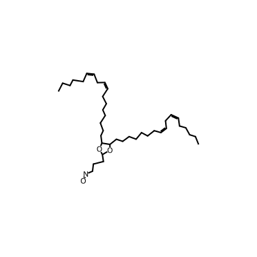 CCCCC/C=C\C/C=C\CCCCCCCC1OC(CCCN=O)OC1CCCCCCC/C=C\C/C=C\CCCCC